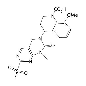 COc1cccc2c1N(C(=O)O)CCC2N1Cc2cnc(S(C)(=O)=O)nc2N(C)C1=O